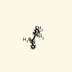 Cc1cc(C)n2nc(C#Cc3nc(-c4ccccc4)cn3C)nc2c1